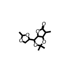 CC1OCC(C2OC(C)(C)OC3C(C)C(=O)OC23)O1